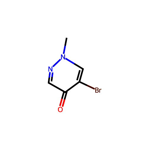 Cn1cc(Br)c(=O)cn1